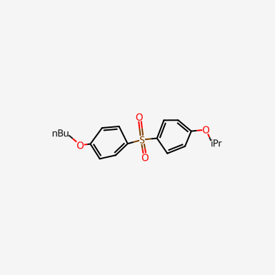 CCCCOc1ccc(S(=O)(=O)c2ccc(OC(C)C)cc2)cc1